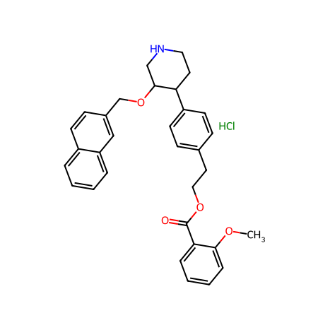 COc1ccccc1C(=O)OCCc1ccc(C2CCNCC2OCc2ccc3ccccc3c2)cc1.Cl